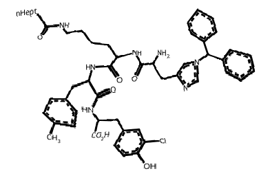 CCCCCCCC(=O)NCCCCC(NC(=O)C(N)Cc1cn(C(c2ccccc2)c2ccccc2)cn1)C(=O)NC(Cc1ccc(C)cc1)C(=O)NC(Cc1ccc(O)c(Cl)c1)C(=O)O